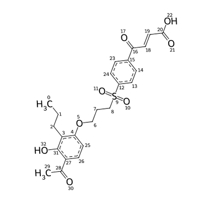 CCCc1c(OCCCS(=O)(=O)c2ccc(C(=O)/C=C/C(=O)O)cc2)ccc(C(C)=O)c1O